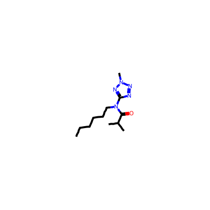 CCCCCCN(C(=O)C(C)C)c1nnn(C)n1